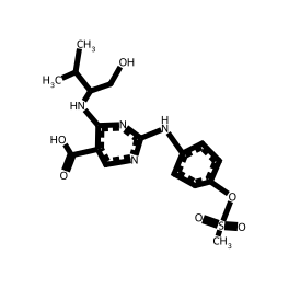 CC(C)C(CO)Nc1nc(Nc2ccc(OS(C)(=O)=O)cc2)ncc1C(=O)O